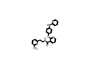 Cc1cccc(CCNC(=O)c2cccnc2Oc2ccc(Nc3ccccn3)cc2)n1